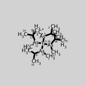 CC(C)[As](C)[Ti]([As](C)C(C)C)([As](C)C(C)C)[As](C)C(C)C